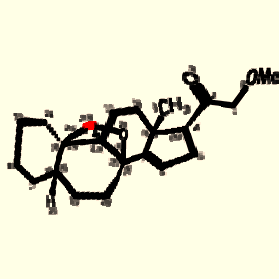 COCC(=O)[C@H]1CC=C2[C@]1(C)CC[C@@H]1[C@@]34CCCC[C@H]3CC[C@@]21OC4